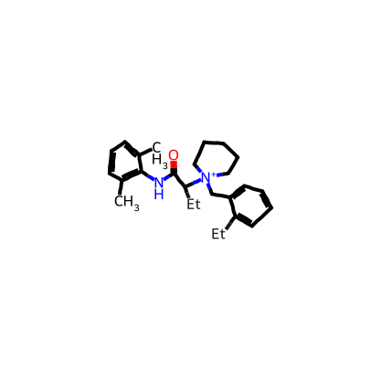 CCc1ccccc1C[N+]1(C(CC)C(=O)Nc2c(C)cccc2C)CCCCC1